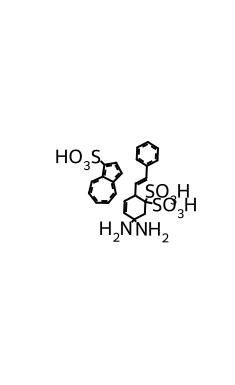 NC1(N)C=CC(C=Cc2ccccc2)C(S(=O)(=O)O)(S(=O)(=O)O)C1.O=S(=O)(O)c1ccc2cccccc1-2